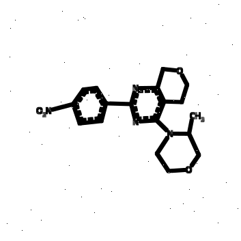 CC1COCCN1c1nc(-c2ccc([N+](=O)[O-])cc2)nc2c1CCOC2